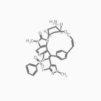 Cn1cc(-c2c3c4c(ncc5c4n(c(=O)n5C)[C@H]4C[C@H](N)[C@@H](C4)OC/C=C\c4ccc-3cc4)n2S(=O)(=O)c2ccccc2)c(F)n1